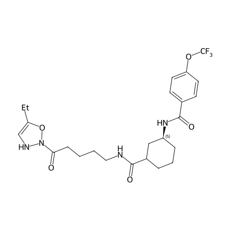 CCC1=CNN(C(=O)CCCCNC(=O)C2CCC[C@H](NC(=O)c3ccc(OC(F)(F)F)cc3)C2)O1